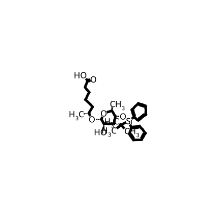 C[C@H](CCCCC(=O)O)O[C@@H]1O[C@@H](C)[C@H](O[Si](c2ccccc2)(c2ccccc2)C(C)(C)C)C[C@H]1O